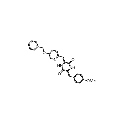 COc1ccc(C=c2[nH]c(=O)c(=Cc3ccc(OCc4ccccc4)cn3)[nH]c2=O)cc1